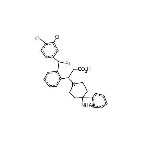 CCC(c1ccc(Cl)c(Cl)c1)c1ccccc1C(CC(=O)O)N1CCC(NC(C)=O)(c2ccccc2)CC1